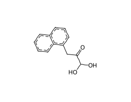 O=C(Cc1cccc2ccccc12)C(O)O